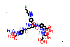 NC(=O)N[C@@H](Cc1ccc(NC(=O)CCC(CCC(=O)Nc2ccc(C[C@H](NC(=O)N[C@@H](CCC(=O)O)C(=O)O)C(=O)O)cc2)NC(=O)c2ccc(-n3cc(CCCF)nn3)cc2)cc1)C(=O)O